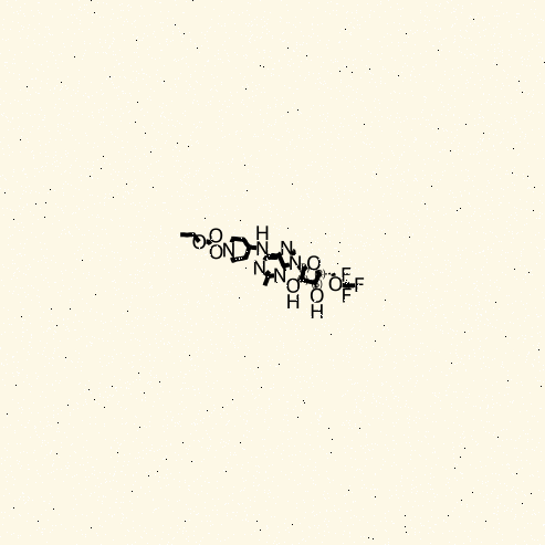 CCOC(=O)ON1CCC(Nc2nc(C)nc3c2ncn3[C@@H]2O[C@H](COC(F)(F)F)[C@@H](O)[C@H]2O)CC1